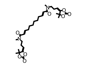 CN(CC/C=C1/OC(=O)OC1(C)C)C(=O)C=CCCCCCC/C=C/C(=O)N(C)CC/C=C1/OC(=O)OC1(C)C